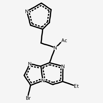 CCc1cn2c(Br)cnc2c(N(Cc2cccnc2)C(C)=O)n1